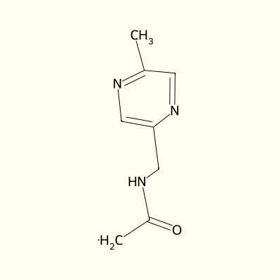 [CH2]C(=O)NCc1cnc(C)cn1